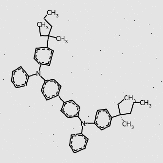 CCCC(C)(CC)c1ccc(N(c2ccccc2)c2ccc(-c3ccc(N(c4ccccc4)c4ccc([C@@](C)(CC)CCC)cc4)cc3)cc2)cc1